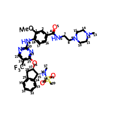 COc1cc(C(=O)NCCN2CCN(C)CC2)ccc1Nc1ncc(C(F)(F)F)c(O[C@@H]2Cc3ccccc3[C@H]2N(C)S(C)(=O)=O)n1